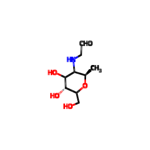 C[C@H]1OC(CO)[C@H](O)C(O)C1NCC=O